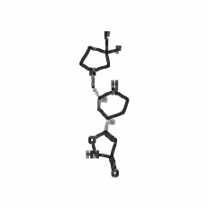 O=c1cc([C@H]2CCN[C@@H](CN3CCC(F)(F)C3)C2)o[nH]1